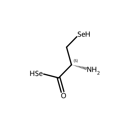 N[C@@H](C[SeH])C(=O)[SeH]